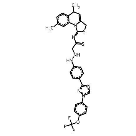 Cc1ccc2c(c1)N1C(=CC2C)CS/C1=N\C(=S)CNNc1ccc(-c2ncn(-c3ccc(OC(F)(F)F)cc3)n2)cc1